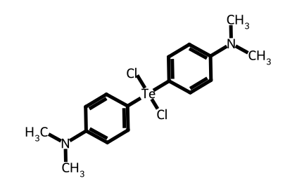 CN(C)c1ccc([Te](Cl)(Cl)c2ccc(N(C)C)cc2)cc1